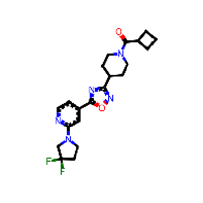 O=C(C1CCC1)N1CCC(c2noc(-c3ccnc(N4CCC(F)(F)C4)c3)n2)CC1